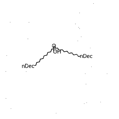 CCCCCCCCCCCCCCCCCCCCP(=O)(O)CCCCCCCCCCCCCCCCCCCC